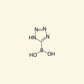 OB(O)c1nnn[nH]1